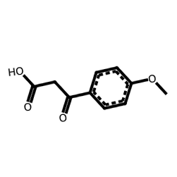 COc1ccc(C(=O)CC(=O)O)cc1